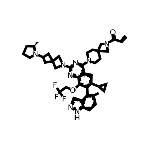 C=CC(=O)N1CC2(CCN(c3nc(N4CC5(CC(N6CCC[C@H]6C)C5)C4)nc4c(OCC(F)(F)F)c(-c5c(C)ccc6[nH]ncc56)c(C5CC5)cc34)CC2)C1